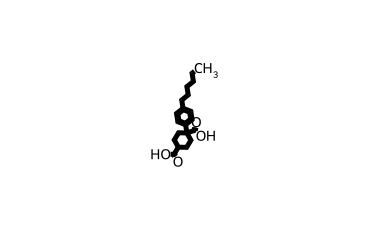 CCCCCCc1ccc(C2(C(=O)O)CCC(C(=O)O)CC2)cc1